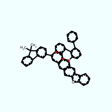 CC1(C)c2ccccc2-c2cc(-c3ccc(N(c4ccc5oc6ccccc6c5c4)c4cccc(-c5ccccc5)c4-c4ccccc4-c4ccccc4)cc3)ccc21